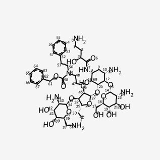 NCC[C@H](O)C(=O)N[C@@H]1C[C@H](N)[C@@H](O[C@H]2O[C@H](CO)[C@@H](O)[C@H](O)[C@H]2N)[C@H](O[C@@H]2O[C@H](CF)[C@@H](O[C@H]3O[C@@H](CN)[C@@H](O)[C@H](O)[C@H]3N)[C@H]2OCCN(CCc2ccccc2)C(=O)OCc2ccccc2)[C@H]1O